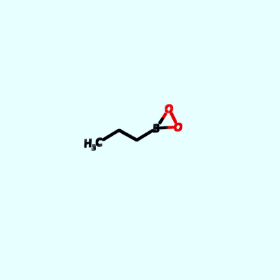 CCCB1OO1